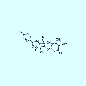 Cc1cc(O[C@H]2C(C)(C)[C@H](NC(=O)c3cnc(Cl)cn3)C2(C)C)cc(C)c1C#N